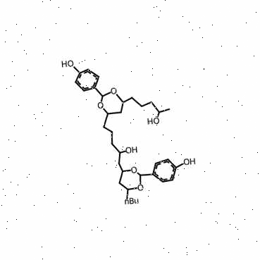 CCCCC1CC(CC(O)CCCC2CC(CCCC(C)O)OC(c3ccc(O)cc3)O2)OC(c2ccc(O)cc2)O1